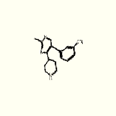 Cc1ncc(-c2cccc(C#N)c2)c(C2CCNCC2)n1